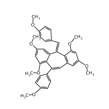 COc1ccc(/C=C2\c3cc(OC)cc(OC)c3C(c3ccc(OC)cc3)=Cc3cc(OC)cc(OC)c32)cc1